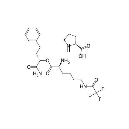 NC(=O)[C@H](CCc1ccccc1)OC(=O)[C@@H](N)CCCCNC(=O)C(F)(F)F.O=C(O)[C@@H]1CCCN1